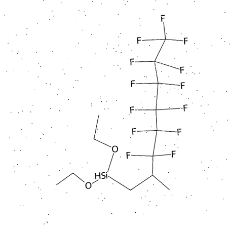 CCO[SiH](CC(C)C(F)(F)C(F)(F)C(F)(F)C(F)(F)C(F)(F)C(F)(F)F)OCC